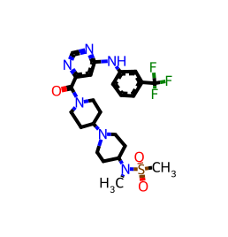 CN(C1CCN(C2CCN(C(=O)c3cc(Nc4cccc(C(F)(F)F)c4)ncn3)CC2)CC1)S(C)(=O)=O